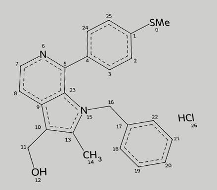 CSc1ccc(-c2nccc3c(CO)c(C)n(Cc4ccccc4)c23)cc1.Cl